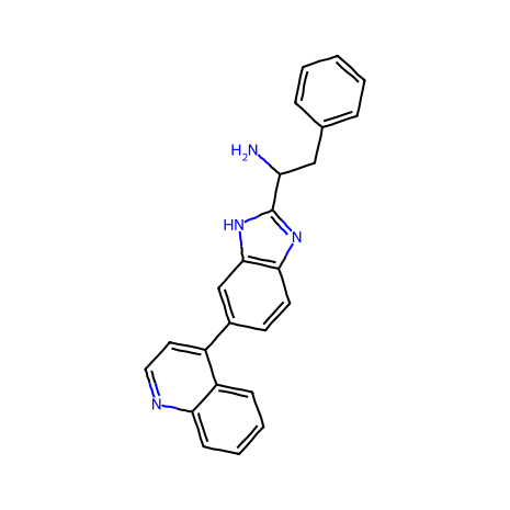 NC(Cc1ccccc1)c1nc2ccc(-c3ccnc4ccccc34)cc2[nH]1